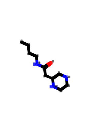 CCCCNC(=O)C[C@H]1C[N]CCN1